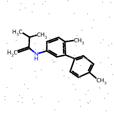 C=C(Nc1ccc(C)c(-c2ccc(C)cc2)c1)C(C)C